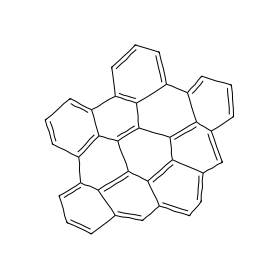 c1cc2cc3ccc4cc5cccc6c7cccc8c9cccc%10c(c1)c2c1c3c4c(c56)c(c78)c1c%109